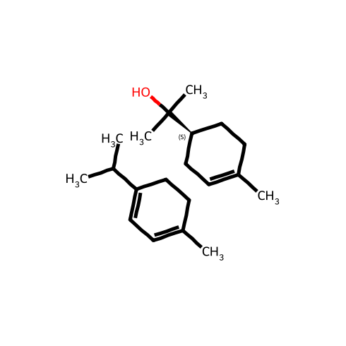 CC1=CC=C(C(C)C)CC1.CC1=CC[C@@H](C(C)(C)O)CC1